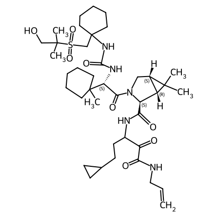 C=CCNC(=O)C(=O)C(CCC1CC1)NC(=O)[C@@H]1[C@@H]2[C@H](CN1C(=O)[C@@H](NC(=O)NC1(CS(=O)(=O)C(C)(C)CO)CCCCC1)C1(C)CCCCC1)C2(C)C